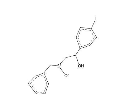 [O-][S+](Cc1ccccc1)CC(O)c1ccc(I)cc1